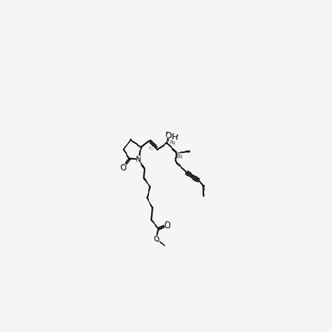 CCC#CC[C@H](C)[C@H](O)/C=C/C1CCC(=O)N1CCCCCCC(=O)OC